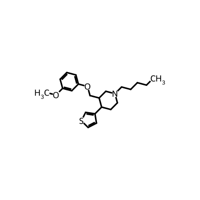 CCCCCN1CCC(c2ccsc2)C(COc2cccc(OC)c2)C1